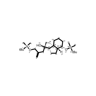 C=C(CO[Si](C)(C)C(C)(C)C)C[C@](C)(O)[C@H]1CC[C@H]2[C@@H](O[Si](C)(C)C(C)(C)C)CCC[C@@]21C